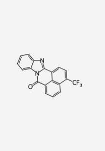 O=c1c2cccc3c(C(F)(F)F)ccc(c32)c2nc3ccccc3n12